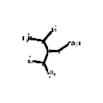 CCC(N)N(CC(=O)O)C(N)CC